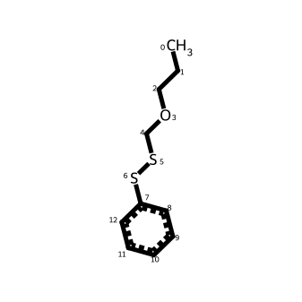 CCCOCSSc1ccccc1